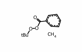 C.CC(C)(C)OOC(=O)c1ccccc1